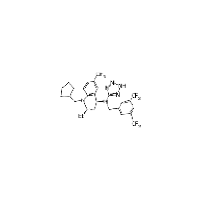 CC[C@@H]1C[C@H](N(Cc2cc(C(F)(F)F)cc(C(F)(F)F)c2)c2nn[nH]n2)c2cc(C(F)(F)F)ccc2N1CC1CCCC1